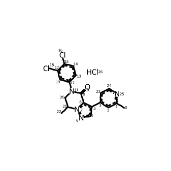 Cc1cc(-c2cnn3c2C(=O)N(c2ccc(Cl)c(Cl)c2)CC3C)ccn1.Cl